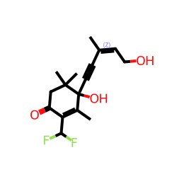 CC1=C(C(F)F)C(=O)CC(C)(C)C1(O)C#C/C(C)=C\CO